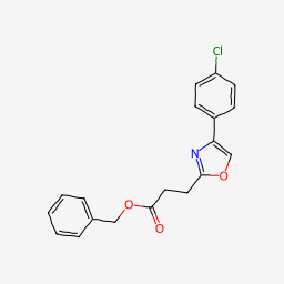 O=C(CCc1nc(-c2ccc(Cl)cc2)co1)OCc1ccccc1